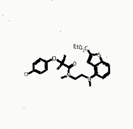 CCOC(=O)c1cc2c(N(C)CCN(C)C(=O)C(C)(C)Oc3ccc(Cl)cc3)cccc2s1